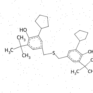 CC(C)(C)c1cc(CSCc2cc(C3CCCC3)c(O)c(C(C)(C)C)c2)cc(C2CCCC2)c1O